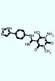 Cn1c(=O)c(C(=N)Nc2ccc(-c3cnn[nH]3)cc2)c(O)n(N)c1=O